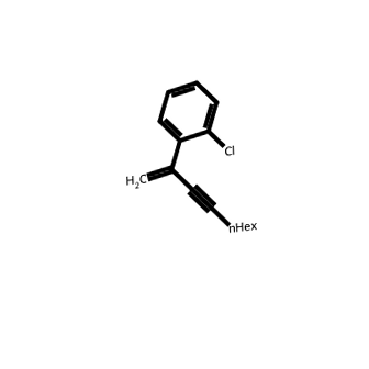 C=C(C#CCCCCCC)c1ccccc1Cl